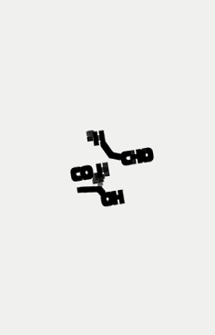 C[C@@H](O)C(=O)O.[2H]CC=O